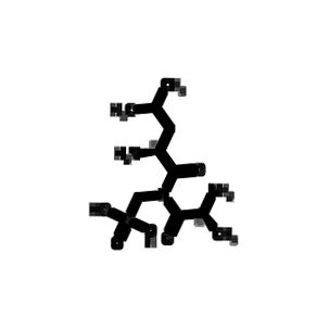 CC(C)C[C@H](N)C(=O)N(CP(=O)(O)O)C(=O)[C@H](C)N